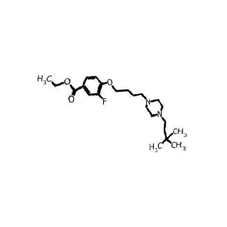 CCOC(=O)c1ccc(OCCCCN2CCN(CCC(C)(C)C)CC2)c(F)c1